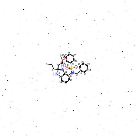 CCCC1(CC(=O)O)Nc2cccc(N(Cc3ccccc3)S(=O)(=O)c3cccc(F)c3)c2N1